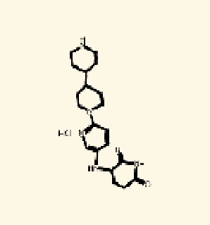 Cl.O=C1CCC(Nc2ccc(N3CCC(C4CCNCC4)CC3)nc2)C(=O)N1